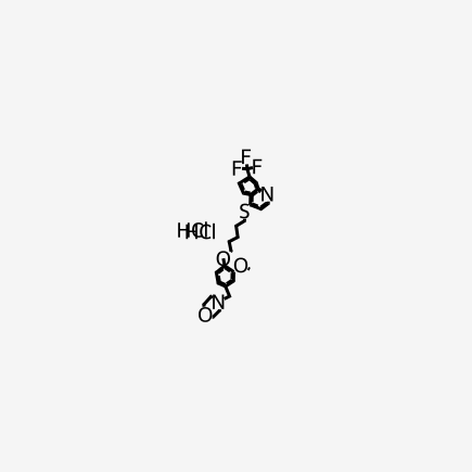 COc1cc(CN2CCOCC2)ccc1OCCCCCSc1ccnc2cc(C(F)(F)F)ccc12.Cl.Cl